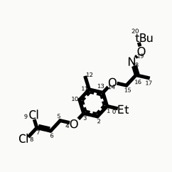 CCc1cc(OCC=C(Cl)Cl)cc(C)c1OCC(C)=NOC(C)(C)C